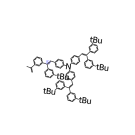 C=C(C)c1cccc(/C(=C/c2ccc(N(c3ccc(C=C(c4cccc(C(C)(C)C)c4)c4cccc(C(C)(C)C)c4)cc3)c3ccc(C=C(c4cccc(C(C)(C)C)c4)c4cccc(C(C)(C)C)c4)cc3)cc2)c2cccc(C(C)(C)C)c2)c1